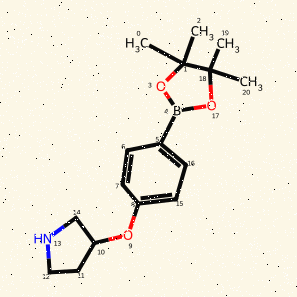 CC1(C)OB(c2ccc(OC3CCNC3)cc2)OC1(C)C